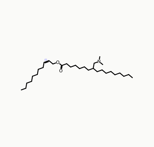 CCCCCCCC/C=C\COC(=O)CCCCCCC(CCCCCCCCC)CN(C)C